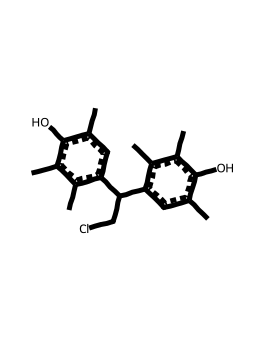 Cc1cc(C(CCl)c2cc(C)c(O)c(C)c2C)c(C)c(C)c1O